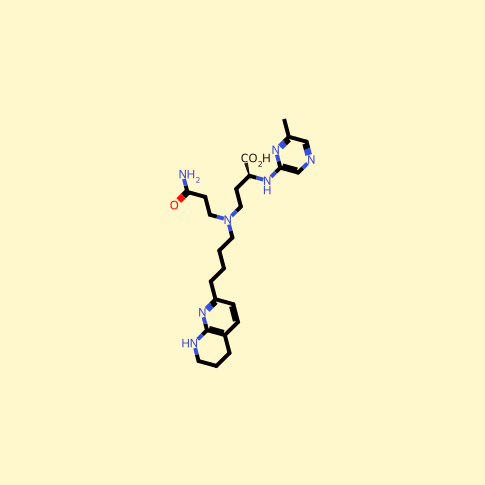 Cc1cncc(N[C@@H](CCN(CCCCc2ccc3c(n2)NCCC3)CCC(N)=O)C(=O)O)n1